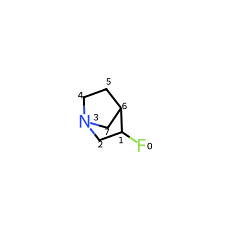 FC1CN2CCC1C2